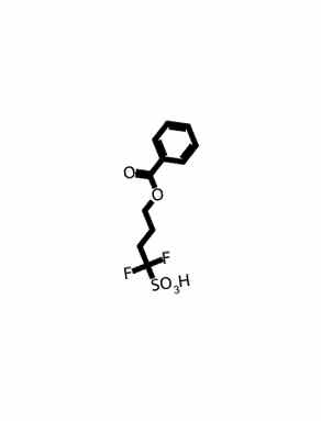 O=C(OCCCC(F)(F)S(=O)(=O)O)c1ccccc1